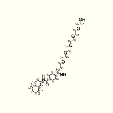 CC1(C)CCC(C)(C)c2cc(NC(=O)c3ccc(C(=N)OCCOCCOCCOCCOCCOCCO)cc3)ccc21